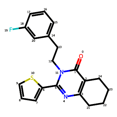 O=c1c2c(nc(-c3cccs3)n1CCc1cccc(F)c1)CCCC2